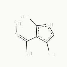 C/C(=N/N)c1c(C)c[nH]c1C